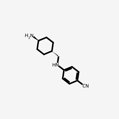 N#Cc1ccc(NC[C@H]2CC[C@H](N)CC2)cc1